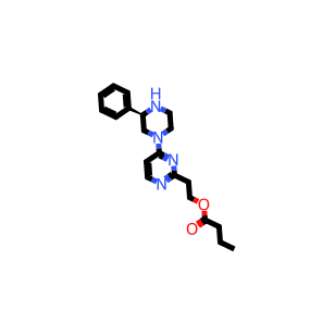 CCCC(=O)OCCc1nccc(N2CCN[C@H](c3ccccc3)C2)n1